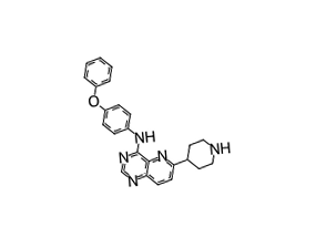 c1ccc(Oc2ccc(Nc3ncnc4ccc(C5CCNCC5)nc34)cc2)cc1